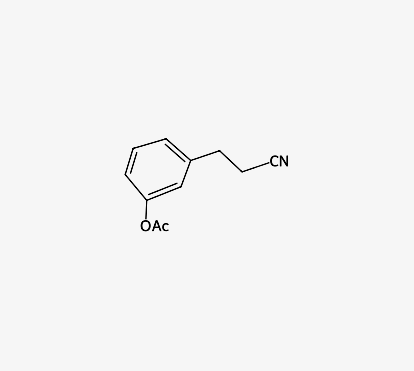 CC(=O)Oc1cccc(CCC#N)c1